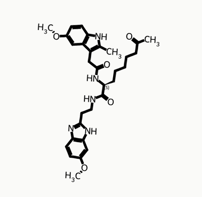 COc1ccc2nc(CCNC(=O)[C@H](CCCCCC(C)=O)NC(=O)Cc3c(C)[nH]c4ccc(OC)cc34)[nH]c2c1